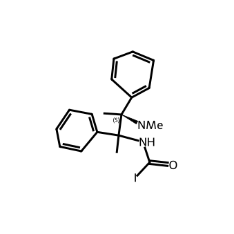 CN[C@@](C)(c1ccccc1)C(C)(NC(=O)I)c1ccccc1